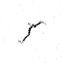 CCCCCCCCCCCCCCCCCN1C=CN(CCCCCCC)C1C